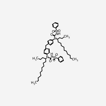 CCCCCCCCCCC(CCC)N(C(=O)NS(=O)(=O)c1ccccc1)c1ccc(Cc2ccc(N(C(=O)NS(=O)(=O)c3ccccc3)C(CCC)CCCCCCCCCC)cc2)cc1